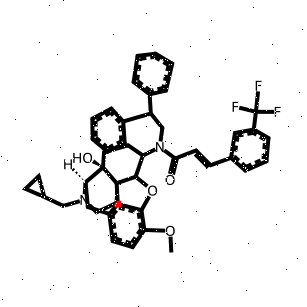 COc1ccc2c3c1OC1C(N(CC(c4ccccc4)c4ccccc4)C(=O)/C=C/c4cccc(C(F)(F)F)c4)CC[C@@]4(O)[C@@H](C2)N(CC2CC2)CC[C@]314